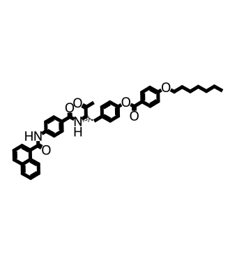 CCCCCCCOc1ccc(C(=O)Oc2ccc(C[C@H](NC(=O)c3ccc(NC(=O)c4cccc5ccccc45)cc3)C(C)=O)cc2)cc1